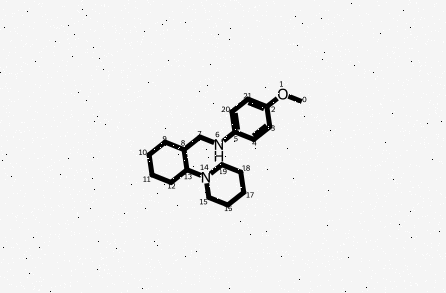 COc1ccc(NCC2CCCCC2N2CCCCC2)cc1